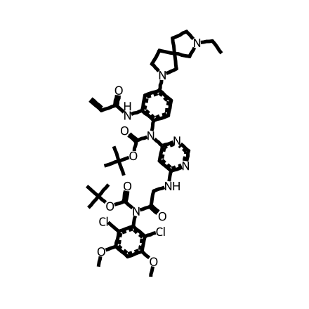 C=CC(=O)Nc1cc(N2CCC3(CCN(CC)C3)C2)ccc1N(C(=O)OC(C)(C)C)c1cc(NCC(=O)N(C(=O)OC(C)(C)C)c2c(Cl)c(OC)cc(OC)c2Cl)ncn1